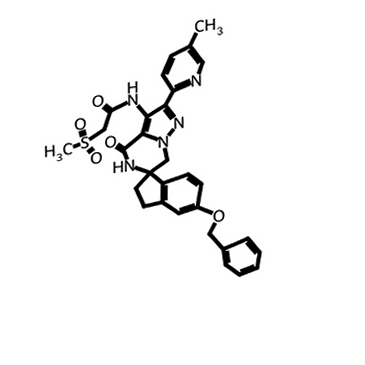 Cc1ccc(-c2nn3c(c2NC(=O)CS(C)(=O)=O)C(=O)NC2(CCc4cc(OCc5ccccc5)ccc42)C3)nc1